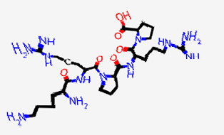 N=C(N)NCCCC(NC(=O)C1CCCN1C(=O)C(CCCNC(=N)N)NC(=O)C(N)CCCCN)C(=O)N1CCCC1C(=O)O